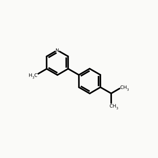 Cc1cncc(-c2ccc(C(C)C)cc2)c1